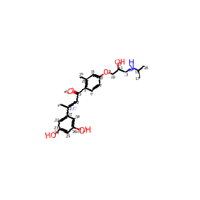 C/C(=C\C(=O)c1ccc(OCC(O)CNC(C)C)cc1C)c1cc(O)cc(O)c1